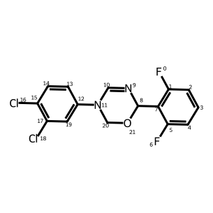 Fc1cccc(F)c1C1N=CN(c2ccc(Cl)c(Cl)c2)CO1